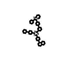 c1ccc(-c2ccc(-c3nc(-c4ccc(-c5cccc6ccccc56)cc4)nc(-c4cccc(-c5ccc(-c6c(-c7ccccc7)nc7ccccn67)cc5)c4)n3)cc2)cc1